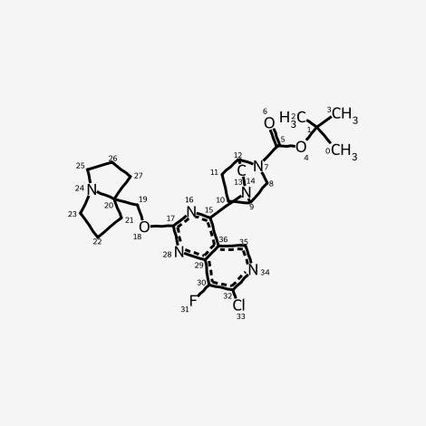 CC(C)(C)OC(=O)N1CC2CCC1CN2c1nc(OCC23CCCN2CCC3)nc2c(F)c(Cl)ncc12